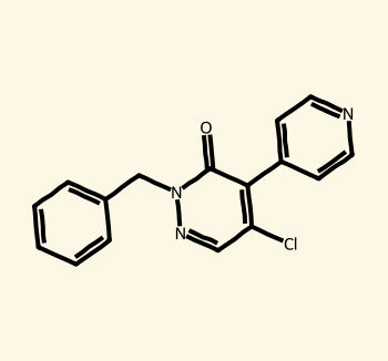 O=c1c(-c2ccncc2)c(Cl)cnn1Cc1ccccc1